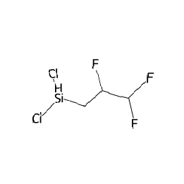 FC(F)C(F)C[SiH](Cl)Cl